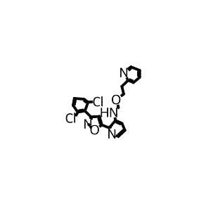 Clc1cccc(Cl)c1-c1cc(-c2ncccc2NCOCCc2ccccn2)on1